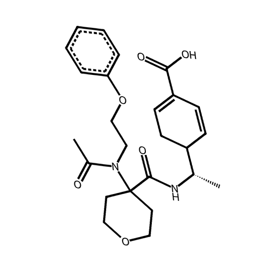 CC(=O)N(CCOc1ccccc1)C1(C(=O)N[C@@H](C)C2C=CC(C(=O)O)=CC2)CCOCC1